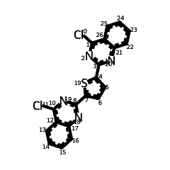 Clc1nc(-c2ccc(-c3nc(Cl)c4ccccc4n3)s2)nc2ccccc12